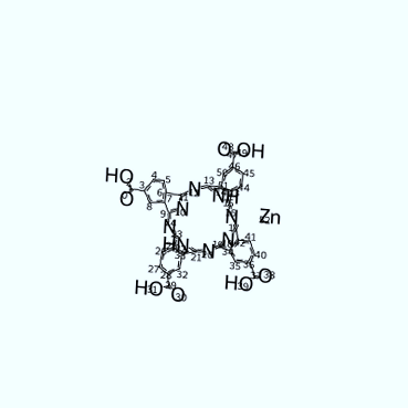 O=C(O)c1ccc2c(c1)-c1nc-2nc2[nH]c(nc3nc(nc4[nH]c(n1)c1ccc(C(=O)O)cc41)-c1cc(C(=O)O)ccc1-3)c1ccc(C(=O)O)cc21.[Zn]